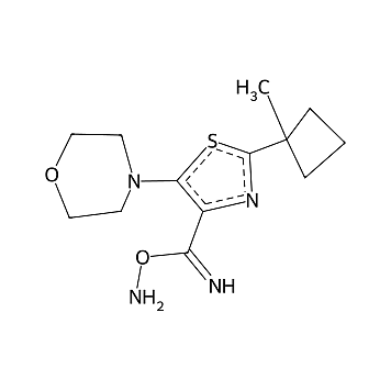 CC1(c2nc(C(=N)ON)c(N3CCOCC3)s2)CCC1